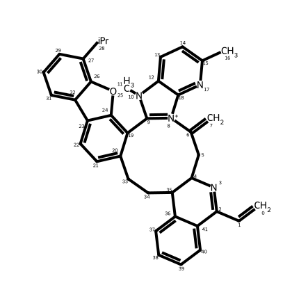 C=CC1=NC2CC(=C)[n+]3c(n(C)c4ccc(C)nc43)-c3c(ccc4c3oc3c(C(C)C)cccc34)CCC2c2ccccc21